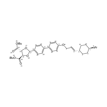 CCC[C@H]1CC[C@H](/C=C/COc2ccc(-c3ccc(C4O[C@@H](C(=O)OCC(C)C)[C@H](C(=O)OCC(C)C)O4)cc3)cc2)CC1